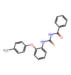 Cc1ccc(Oc2ccccc2NC(=S)NC(=O)c2ccccc2)cc1